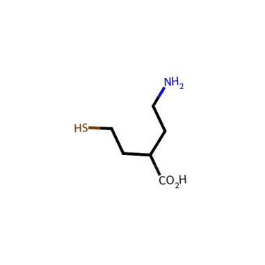 NCCC(CCS)C(=O)O